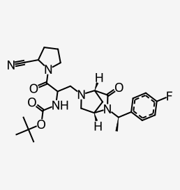 C[C@H](c1ccc(F)cc1)N1C(=O)[C@@H]2C[C@H]1CN2CC(NC(=O)OC(C)(C)C)C(=O)N1CCCC1C#N